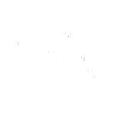 COCCOc1c(N)cc(NC(=O)OC)cc1S(=O)(=O)O